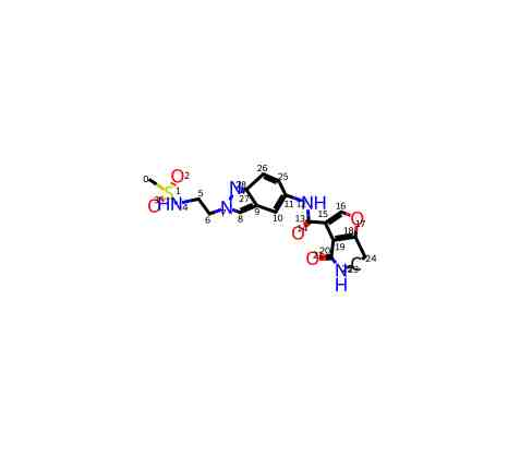 CS(=O)(=O)NCCn1cc2cc(NC(=O)c3coc4c3C(=O)NCC4)ccc2n1